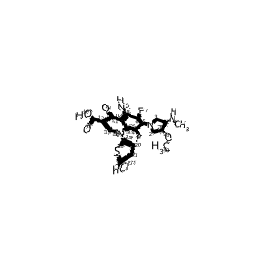 CN[C@@H]1CN(c2c(F)c(N)c3c(=O)c(C(=O)O)cn(-c4cccs4)c3c2F)C[C@@H]1OC.Cl